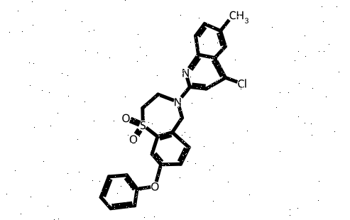 Cc1ccc2nc(N3CCS(=O)(=O)c4cc(Oc5ccccc5)ccc4C3)cc(Cl)c2c1